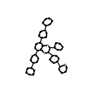 c1ccc(-c2ccc(-c3ccc(-c4ccc(-c5ccccc5)cc4)c4nc(-c5ccc(-c6ccccn6)cc5)c(-c5ccccc5)nc34)cc2)cc1